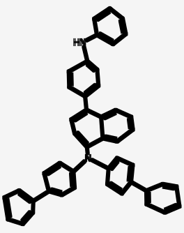 c1ccc(Nc2ccc(-c3ccc(N(c4ccc(-c5ccccc5)cc4)c4ccc(-c5ccccc5)cc4)c4ccccc34)cc2)cc1